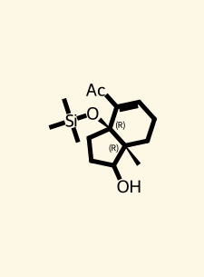 CC(=O)C1=CCC[C@]2(C)C(O)CC[C@]12O[Si](C)(C)C